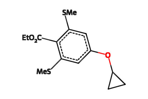 CCOC(=O)c1c(SC)cc(OC2CC2)cc1SC